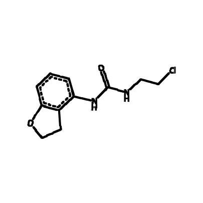 O=C(NCCCl)Nc1cccc2c1CCO2